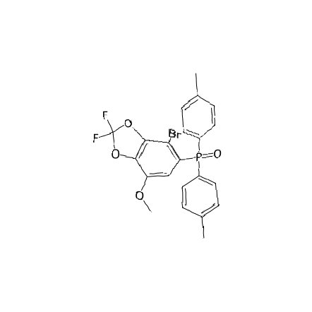 COc1cc(P(=O)(c2ccc(C)cc2)c2ccc(C)cc2)c(Br)c2c1OC(F)(F)O2